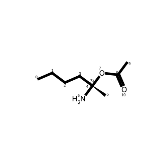 CCCC[C@@](C)(N)OC(C)=O